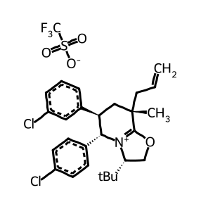 C=CC[C@@]1(C)C[C@H](c2cccc(Cl)c2)[C@@H](c2ccc(Cl)cc2)[N+]2=C1OC[C@@H]2C(C)(C)C.O=S(=O)([O-])C(F)(F)F